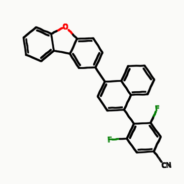 N#Cc1cc(F)c(-c2ccc(-c3ccc4oc5ccccc5c4c3)c3ccccc23)c(F)c1